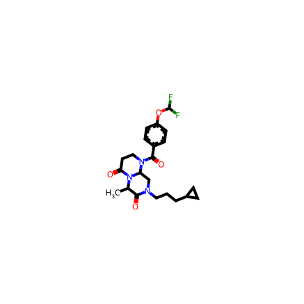 CC1C(=O)N(CCCC2CC2)CC2N(C(=O)c3ccc(OC(F)F)cc3)CCC(=O)N12